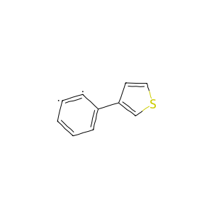 [c]1[c]c(-c2ccsc2)ccc1